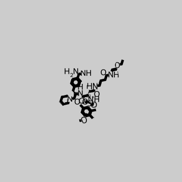 CCOCCNC(=O)CCCNC(=O)C[C@H](NS(=O)(=O)c1c(C)cc(OC)c(C)c1C)C(=O)N[C@H](Cc1ccc(C(=N)N)cc1)C(=O)N1CCCCC1